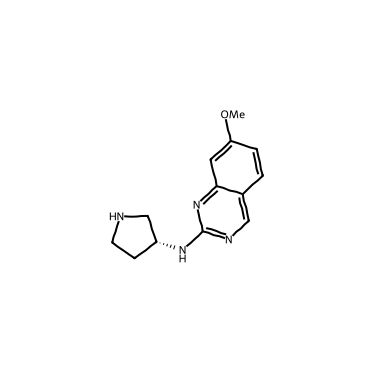 COc1ccc2cnc(N[C@@H]3CCNC3)nc2c1